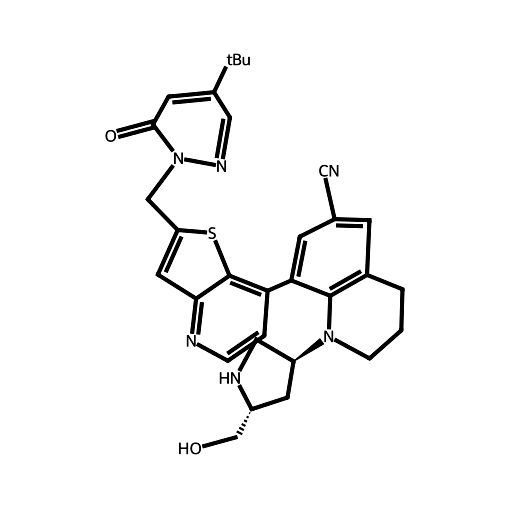 CC(C)(C)c1cnn(Cc2cc3nccc(-c4cc(C#N)cc5c4N([C@@H]4CN[C@@H](CO)C4)CCC5)c3s2)c(=O)c1